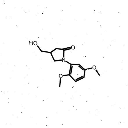 COc1ccc(OC)c(N2CC(CO)CC2=O)c1